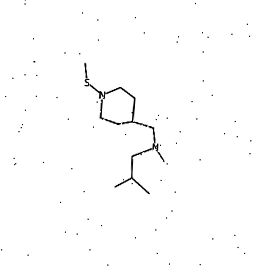 CSN1CCC(CN(C)CC(C)C)CC1